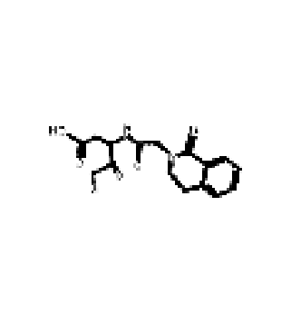 O=C(O)CC(NC(=O)CN1CCc2ccccc2C1=O)C(=O)CBr